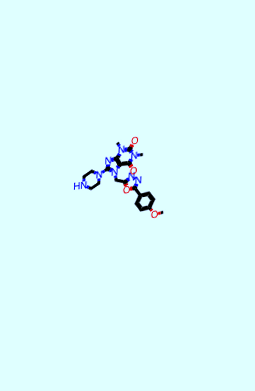 COc1ccc(-c2nnc(Cn3c(N4CCNCC4)nc4c3c(=O)n(C)c(=O)n4C)o2)cc1